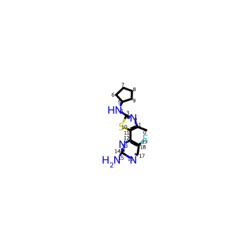 Cc1nc(NC2CCCC2)sc1-c1nc(N)ncc1F